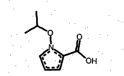 CC(C)On1cccc1C(=O)O